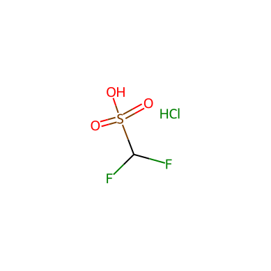 Cl.O=S(=O)(O)C(F)F